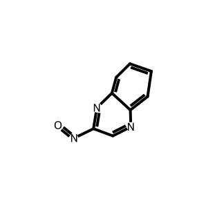 O=Nc1cnc2ccccc2n1